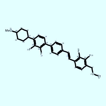 CCOCc1ccc(/C=C/c2ccc(-c3ccc(C4CCC(OC)CC4)c(F)c3F)cc2)c(F)c1F